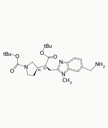 Cn1c(C[C@H](C(=O)OC(C)(C)C)[C@H]2CCN(C(=O)OC(C)(C)C)C2)nc2ccc(CN)cc21